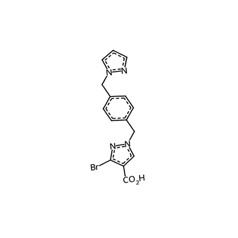 O=C(O)c1cn(Cc2ccc(Cn3cccn3)cc2)nc1Br